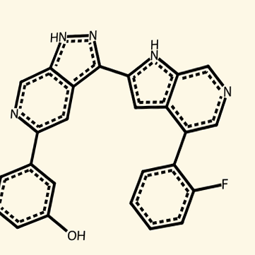 Oc1cncc(-c2cc3c(-c4cc5c(-c6ccccc6F)cncc5[nH]4)n[nH]c3cn2)c1